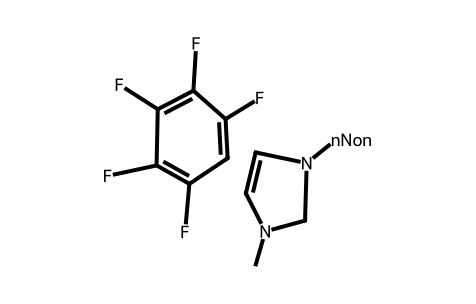 CCCCCCCCCN1C=CN(C)C1.Fc1cc(F)c(F)c(F)c1F